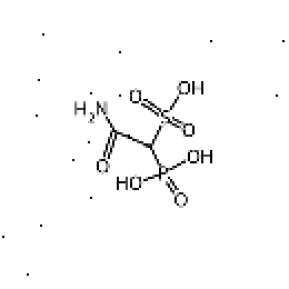 NC(=O)C(P(=O)(O)O)S(=O)(=O)O